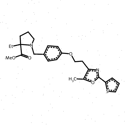 CCC1(C(=O)OC)CCCN1Cc1ccc(OCCc2nc(-c3cccs3)oc2C)cc1